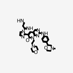 CN1CCOC(c2ccc(Nc3ncc4cc(-c5nccn5C(=N)CC=N)c(=O)n(CCN5CCOCC5)c4n3)cc2)C1